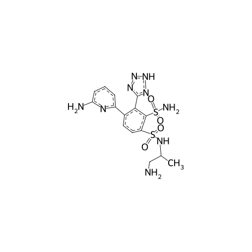 CC(CN)NS(=O)(=O)c1ccc(-c2cccc(N)n2)c(-c2nn[nH]n2)c1S(N)(=O)=O